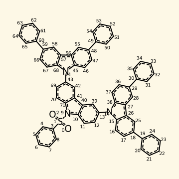 O=S(=O)(c1ccccc1)n1c2ccc(-n3c4ccc(-c5ccccc5)cc4c4cc(-c5ccccc5)ccc43)cc2c2cc(-n3c4ccc(-c5ccccc5)cc4c4cc(-c5ccccc5)ccc43)ccc21